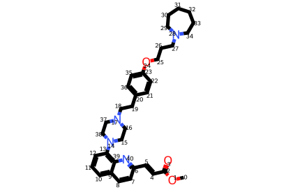 COC(=O)/C=C/c1ccc2cccc(N3CCN(CCc4ccc(OCCCN5CCCCCC5)cc4)CC3)c2n1